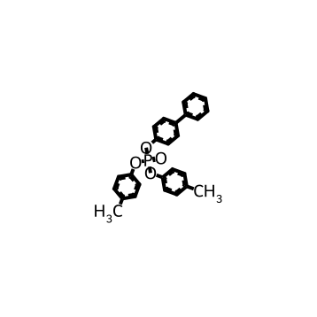 Cc1ccc(OP(=O)(Oc2ccc(C)cc2)Oc2ccc(-c3ccccc3)cc2)cc1